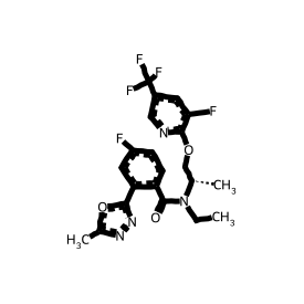 CCN(C(=O)c1ccc(F)cc1-c1nnc(C)o1)[C@@H](C)COc1ncc(C(F)(F)F)cc1F